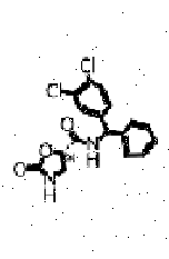 O=C1NC[C@@H](C(=O)NC(c2ccccc2)c2ccc(Cl)c(Cl)c2)O1